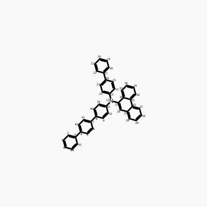 c1ccc(-c2ccc(-c3ccc(N(c4ccc(-c5ccccc5)cc4)c4cc5ccccc5c5ccccc45)cc3)cc2)cc1